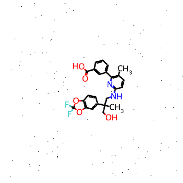 Cc1ccc(NCC(C)(CO)c2ccc3c(c2)OC(F)(F)O3)nc1-c1cccc(C(=O)O)c1